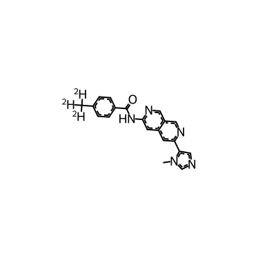 [2H]C([2H])([2H])c1ccc(C(=O)Nc2cc3cc(-c4cncn4C)ncc3cn2)cc1